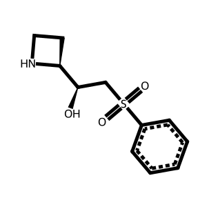 O=S(=O)(C[C@@H](O)[C@@H]1CCN1)c1ccccc1